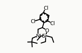 CC[Si](CC)(CC)OC(CNCC(C)(C)C)c1c(Cl)cc(Cl)cc1Cl